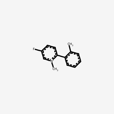 Cc1ccccc1-c1ccc(F)c[n+]1C